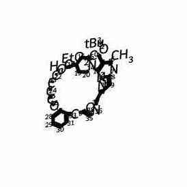 CCOC(=O)[C@@H](OC(C)(C)C)c1c(C)nc2cc3nn2c1N1CCC(C)(CC1)OCCCCOc1ccccc1Cc1cnc-3o1